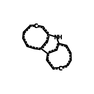 c1cccc2cc(ccc1)-c1cccccccc(c1)N2